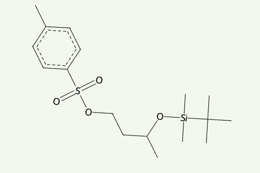 Cc1ccc(S(=O)(=O)OCCC(C)O[Si](C)(C)C(C)(C)C)cc1